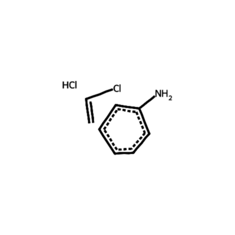 C=CCl.Cl.Nc1ccccc1